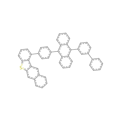 c1ccc(-c2cccc(-c3c4ccccc4c(-c4ccc(-c5cccc6sc7cc8ccccc8cc7c56)cc4)c4ccccc34)c2)cc1